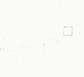 CCCCOC(=O)CCC1CC(=O)C1